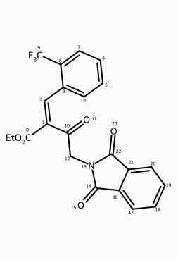 CCOC(=O)/C(=C/c1ccccc1C(F)(F)F)C(=O)CN1C(=O)c2ccccc2C1=O